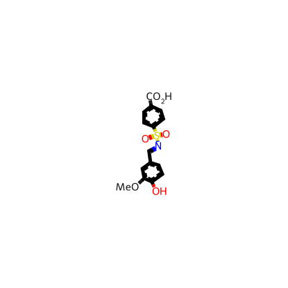 COc1cc(C=NS(=O)(=O)c2ccc(C(=O)O)cc2)ccc1O